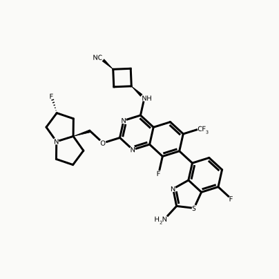 N#C[C@H]1C[C@@H](Nc2nc(OC[C@@]34CCCN3C[C@H](F)C4)nc3c(F)c(-c4ccc(F)c5sc(N)nc45)c(C(F)(F)F)cc23)C1